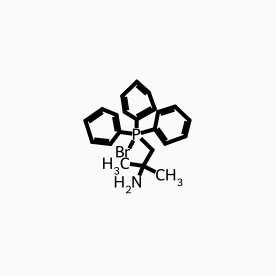 CC(C)(N)CP(Br)(c1ccccc1)(c1ccccc1)c1ccccc1